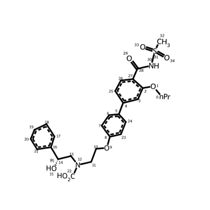 CCCOc1cc(-c2ccc(OCCN(C[C@H](O)c3ccccc3)C(=O)O)cc2)ccc1C(=O)NS(C)(=O)=O